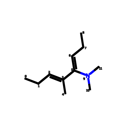 CCC=C(C)/C(=C/CC)N(C)C